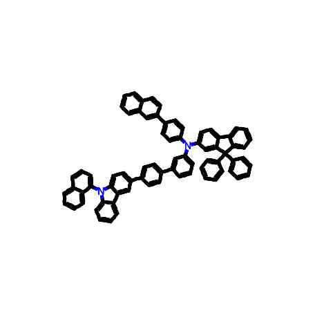 c1ccc(C2(c3ccccc3)c3ccccc3-c3ccc(N(c4ccc(-c5ccc6ccccc6c5)cc4)c4cccc(-c5ccc(-c6ccc7c(c6)c6ccccc6n7-c6cccc7ccccc67)cc5)c4)cc32)cc1